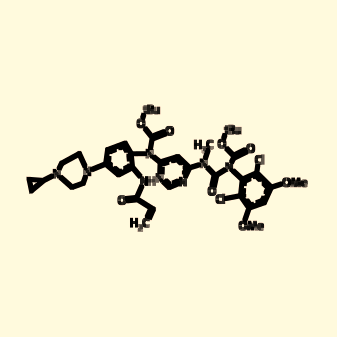 C=CC(=O)Nc1cc(N2CCN(C3CC3)CC2)ccc1N(C(=O)OC(C)(C)C)c1cc(N(C)C(=O)N(C(=O)OC(C)(C)C)c2c(Cl)c(OC)cc(OC)c2Cl)ncn1